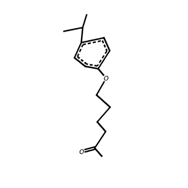 CC(=O)CCCCOc1ccc(C(C)C)cc1